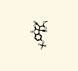 COC(=O)C(C#N)C1(C#N)C(=O)Nc2ccc(OC(F)(F)F)cc21